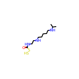 CC(C)NCCCCCNCCNC(=O)SS